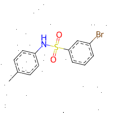 Cc1ccc(NS(=O)(=O)c2cccc(Br)c2)cc1